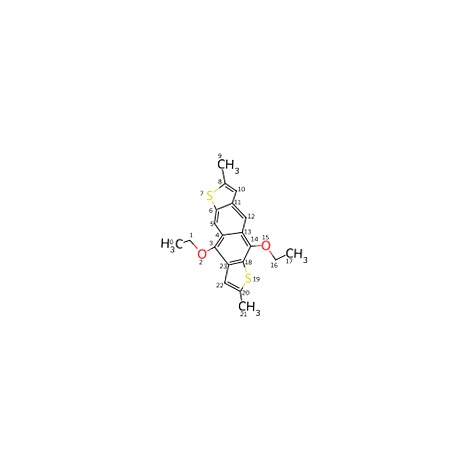 CCOc1c2cc3sc(C)cc3cc2c(OCC)c2sc(C)cc12